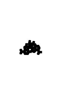 CC[Si](CC)=[Zr]([Cl])([Cl])([CH]1C(C)=Cc2c(C(C)C)ccc(C)c21)[CH]1C(C)=Cc2c(C(C)C)ccc(C)c21